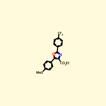 CCOC(=O)c1nc(-c2ccc(C(F)(F)F)cc2)oc1-c1ccc(SC)cc1